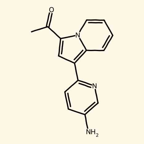 CC(=O)c1cc(-c2ccc(N)cn2)c2ccccn12